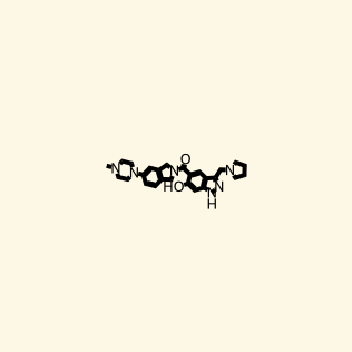 CN1CCN(c2ccc3c(c2)CN(C(=O)c2cc4c(CN5CCCC5)n[nH]c4cc2O)C3)CC1